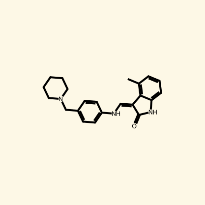 Cc1cccc2c1/C(=C/Nc1ccc(CN3CCCCC3)cc1)C(=O)N2